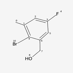 Cc1cc(F)cc(CO)c1Br